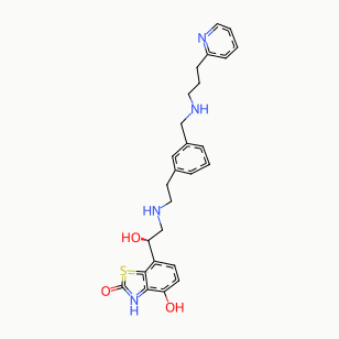 O=c1[nH]c2c(O)ccc([C@@H](O)CNCCc3cccc(CNCCCc4ccccn4)c3)c2s1